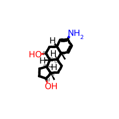 C[C@]12C=CC(N)=C[C@H]1C[C@H](O)[C@@H]1[C@@H]2CC[C@]2(C)[C@@H](O)CC[C@@H]12